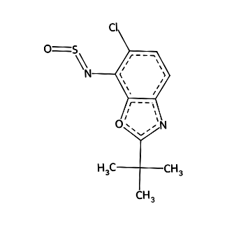 CC(C)(C)c1nc2ccc(Cl)c(N=S=O)c2o1